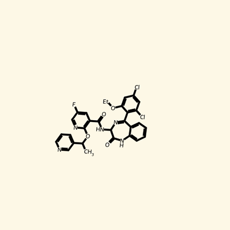 CCOc1cc(Cl)cc(Cl)c1C1=NC(NC(=O)c2cc(F)cnc2OC(C)c2cccnc2)C(=O)Nc2ccccc21